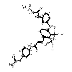 CNC(=O)Nc1cccc(Sc2ccc(C=CC(=O)Nc3ccc(CC(=O)O)cc3)c(C(F)(F)F)c2C(F)(F)F)c1